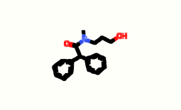 CN(CCCO)C(=O)C(c1ccccc1)c1ccccc1